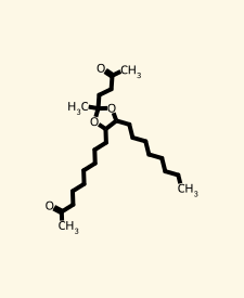 CCCCCCCCC1OC(C)(CCC(C)=O)OC1CCCCCCCC(C)=O